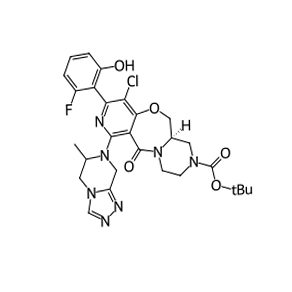 CC1Cn2cnnc2CN1c1nc(-c2c(O)cccc2F)c(Cl)c2c1C(=O)N1CCN(C(=O)OC(C)(C)C)C[C@@H]1CO2